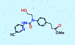 COC(=O)CCc1ccc(N(CCO)C(=O)Nc2ccc(C#N)cn2)cc1